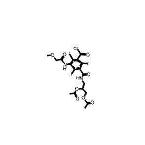 COCC(=O)Nc1c(I)c(C(=O)Cl)c(I)c(C(=O)NCC(COC(C)=O)OC(C)=O)c1I